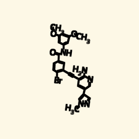 COc1cc(NC(=O)c2ccc(Br)c(C#Cc3cc(-c4cnn(C)c4)cnc3N)c2)cc(OC)c1